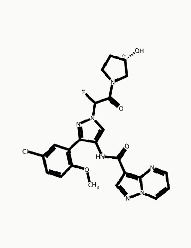 COc1ccc(Cl)cc1-c1nn(C(F)C(=O)N2CC[C@H](O)C2)cc1NC(=O)c1cnn2cccnc12